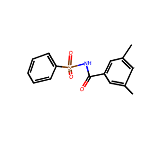 Cc1[c]c(C)cc(C(=O)NS(=O)(=O)c2ccccc2)c1